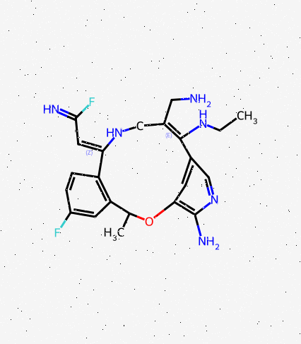 CCN/C1=C(\CN)CN/C(=C\C(=N)F)c2ccc(F)cc2C(C)Oc2cc1cnc2N